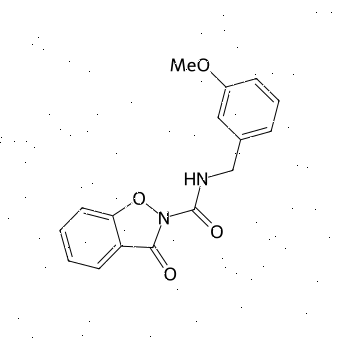 COc1cccc(CNC(=O)n2oc3ccccc3c2=O)c1